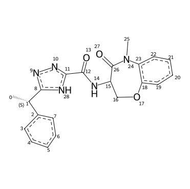 C[C@@H](c1ccccc1)c1nnc(C(=O)NC2COc3ccccc3N(C)C2=O)[nH]1